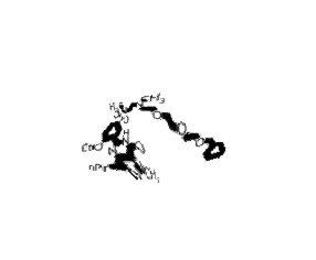 CCCc1nn(C)c2c(=O)[nH]c(-c3cc(S(=O)(=O)N(C)CCN(C)CCOCCOCCOCc4ccccc4)ccc3OCC)nc12